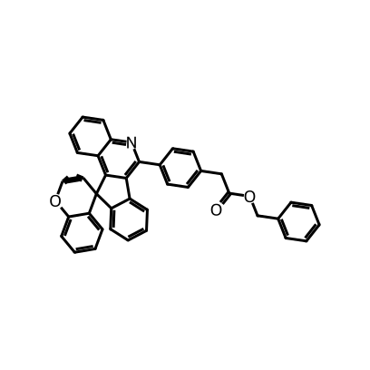 O=C(Cc1ccc(-c2nc3ccccc3c3c2-c2ccccc2C32c3ccccc3Oc3ccccc32)cc1)OCc1ccccc1